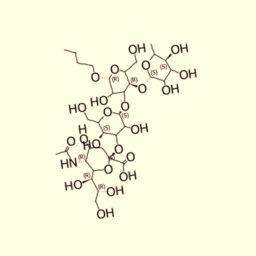 CCCCO[C@@H]1OC(CO)[C@@H](O[C@@H]2OC(C)[C@@H](O)C(O)C2O)C(O[C@@H]2OC(CO)[C@H](O)C(O[C@]3(C(=O)O)CC(O)[C@@H](NC(C)=O)C([C@H](O)[C@H](O)CO)O3)C2O)C1O